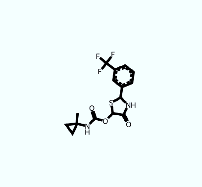 CC1(NC(=O)OC2SC(c3cccc(C(F)(F)F)c3)NC2=O)CC1